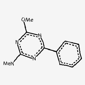 CNc1nc(OC)nc(-c2ccccc2)n1